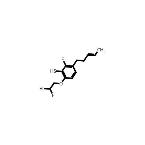 C/C=C/CCc1ccc(OCC(F)CC)c(S)c1F